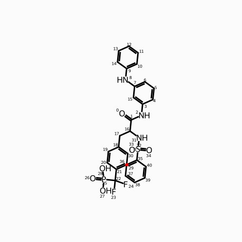 O=C(Nc1cccc(Nc2ccccc2)c1)C(Cc1ccc(C(F)(F)P(=O)(O)O)cc1)NS(=O)(=O)c1ccccc1